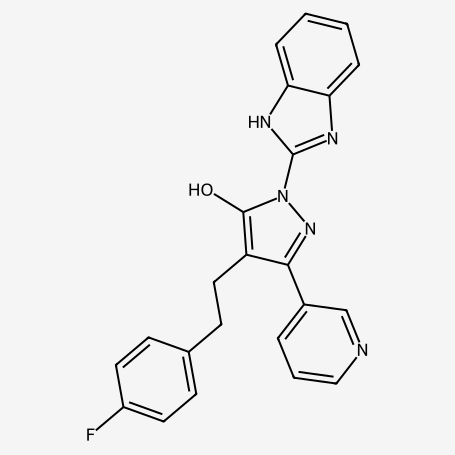 Oc1c(CCc2ccc(F)cc2)c(-c2cccnc2)nn1-c1nc2ccccc2[nH]1